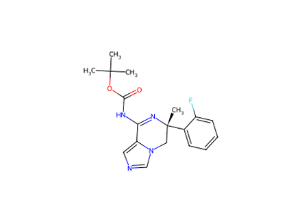 CC(C)(C)OC(=O)NC1=N[C@](C)(c2ccccc2F)Cn2cncc21